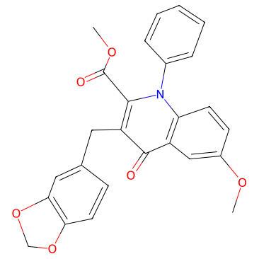 COC(=O)c1c(Cc2ccc3c(c2)OCO3)c(=O)c2cc(OC)ccc2n1-c1ccccc1